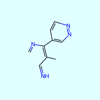 C=N/C(=C(/C)C=N)c1ccnnc1